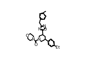 CCc1ccc(C2CC(c3nc(Cc4ccc(C)cc4)no3)CN(C(=O)N3CCOCC3)C2)cc1